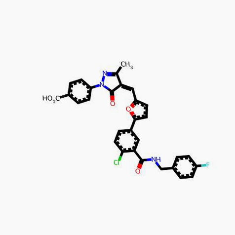 CC1=NN(c2ccc(C(=O)O)cc2)C(=O)C1=Cc1ccc(-c2ccc(Cl)c(C(=O)NCc3ccc(F)cc3)c2)o1